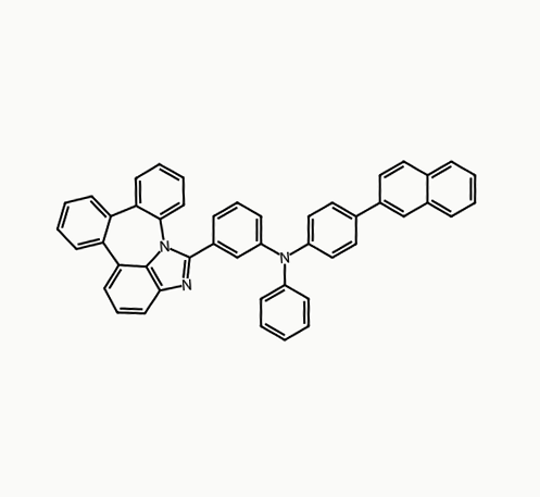 c1ccc(N(c2ccc(-c3ccc4ccccc4c3)cc2)c2cccc(-c3nc4cccc5c4n3-c3ccccc3-c3ccccc3-5)c2)cc1